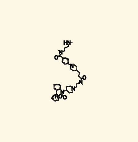 CNCCCN(C)C(=O)c1ccc(N2CCC(CCC(=O)N(C)CCN3CCC(N(C(=O)O)c4ccccc4-c4ccccc4)CC3)CC2)cc1